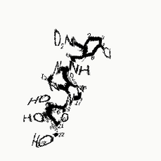 O=[N+]([O-])c1ccc(Cl)cc1CNc1ncnc2c1ncn2C1O[C@H](CO)[C@@H](O)[C@H]1O